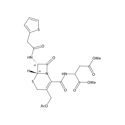 COC(=O)CC(NC(=O)C1=C(COC(C)=O)CS[C@@H]2[C@H](NC(=O)Cc3cccs3)C(=O)N12)C(=O)OC